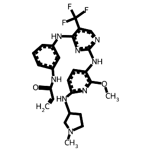 C=CC(=O)Nc1cccc(Nc2nc(Nc3ccc(NC4CCN(C)C4)nc3OC)ncc2C(F)(F)F)c1